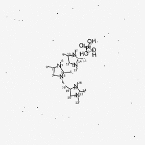 CC1CN(C)C(C)N1C.CC1CN(C)C(C)N1C.CC1CN(C)C(C)N1C.O=P(O)(O)O